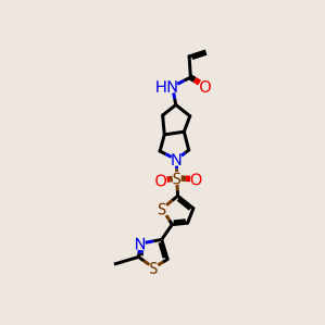 C=CC(=O)NC1CC2CN(S(=O)(=O)c3ccc(-c4csc(C)n4)s3)CC2C1